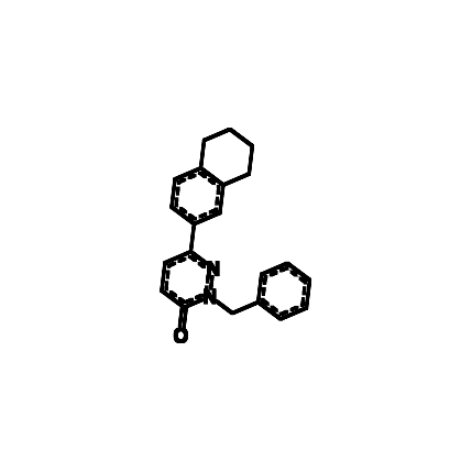 O=c1ccc(-c2ccc3c(c2)CCCC3)nn1Cc1ccccc1